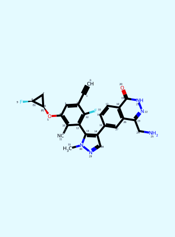 C#Cc1cc(O[C@@H]2C[C@@H]2F)c(C#N)c(-c2c(-c3ccc4c(=O)[nH]nc(CN)c4c3)cnn2C)c1F